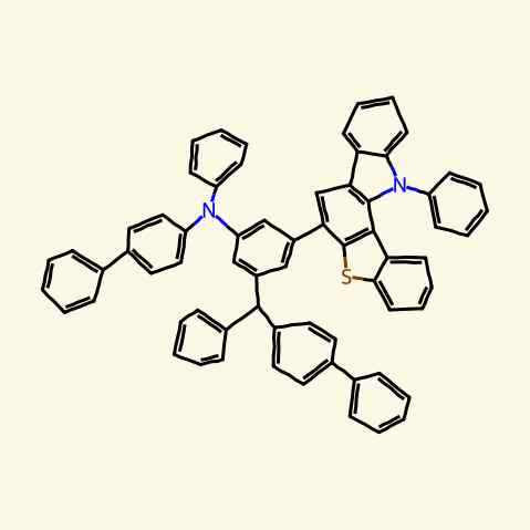 c1ccc(-c2ccc(C(c3ccccc3)c3cc(-c4cc5c6ccccc6n(-c6ccccc6)c5c5c4sc4ccccc45)cc(N(c4ccccc4)c4ccc(-c5ccccc5)cc4)c3)cc2)cc1